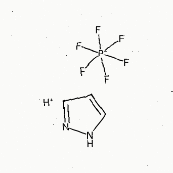 F[P-](F)(F)(F)(F)F.[H+].c1cn[nH]c1